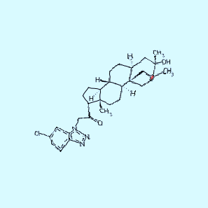 COC[C@]12CC[C@@](C)(O)C[C@@H]1CC[C@H]1[C@@H]3CC[C@H](C(=O)Cn4nnc5ccc(Cl)cc54)[C@@]3(C)CC[C@@H]12